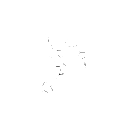 CN(Cc1sc2c(=O)c(C(=O)NCc3ccc(Cl)cc3)cn(C)c2c1COCC[Si](C)(C)C)CC(O)c1ccc(C#N)s1